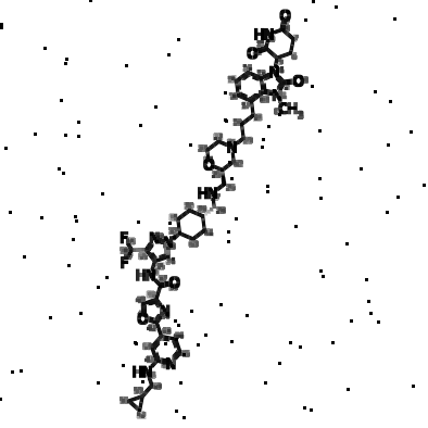 Cn1c(=O)n(C2CCC(=O)NC2=O)c2cccc(CCCN3CCO[C@H](CNC[C@H]4CC[C@H](n5cc(NC(=O)c6coc(-c7ccnc(NCC8CC8)c7)n6)c(C(F)F)n5)CC4)C3)c21